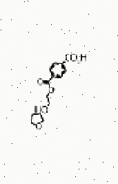 C1CCOC1.O=C(O)c1ccc(C(=O)OCCO)cc1